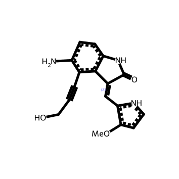 COc1cc[nH]c1/C=C1\C(=O)Nc2ccc(N)c(C#CCO)c21